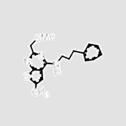 CSCc1nc(NCCCc2ccccc2)c2cc(C)sc2n1